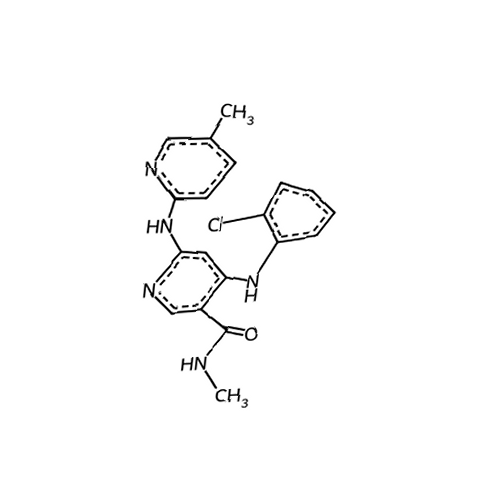 CNC(=O)c1cnc(Nc2ccc(C)cn2)cc1Nc1ccccc1Cl